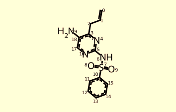 C=CCc1nc(NS(=O)(=O)c2ccccc2)ncc1N